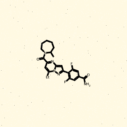 CCc1cc(C(=O)N2CCCCCC2C)nc2cc(-c3c(F)cc(C(N)=O)cc3F)nn12